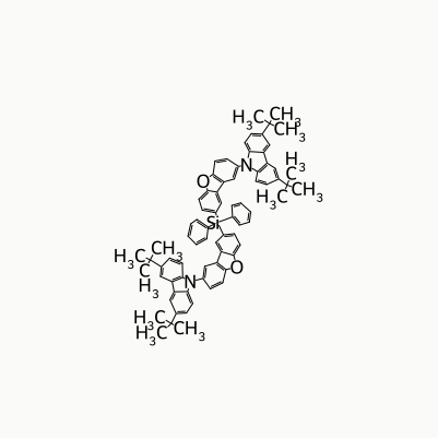 CC(C)(C)c1ccc2c(c1)c1cc(C(C)(C)C)ccc1n2-c1ccc2oc3ccc([Si](c4ccccc4)(c4ccccc4)c4ccc5oc6ccc(-n7c8ccc(C(C)(C)C)cc8c8cc(C(C)(C)C)ccc87)cc6c5c4)cc3c2c1